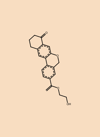 C=C(OCCO)c1ccc2c(c1)COc1cc3c(cc1-2)CCCC3=O